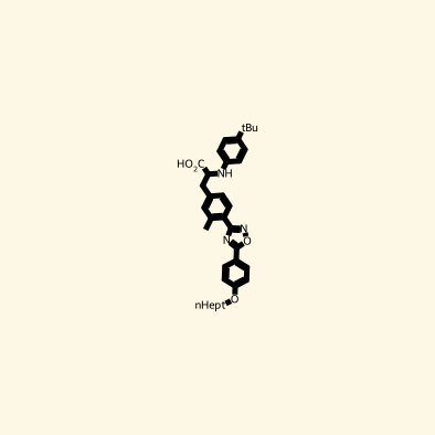 CCCCCCCOc1ccc(-c2nc(-c3ccc(CC(Nc4ccc(C(C)(C)C)cc4)C(=O)O)cc3C)no2)cc1